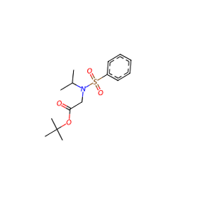 CC(C)N(CC(=O)OC(C)(C)C)S(=O)(=O)c1ccccc1